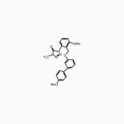 COc1ccc(-c2cccc(OCc3c(OC)cccc3-n3nnn(C)c3=O)c2)cc1